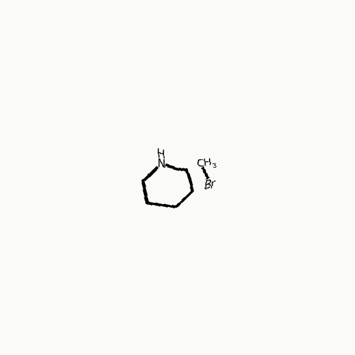 C1CCNCC1.CBr